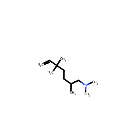 C=CC(C)(C)CCC(C)CN(C)C